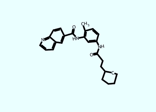 Cc1ccc(NC(=O)CCC2CCCCC2)cc1NC(=O)c1ccc2ncccc2c1